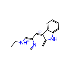 C=NC(=C\NCC)/C=c1\c(=C)[nH]c2ccccc12